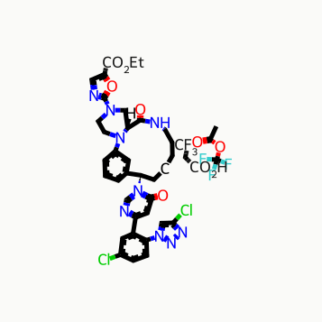 CC(=O)OC(F)(F)F.CCOC(=O)c1cnc(N2CCN3c4cccc(c4)[C@@H](n4cnc(-c5cc(Cl)ccc5-n5cc(Cl)nn5)cc4=O)CCCCCNC(=O)[C@H]3C2)o1.O=C(O)CC(F)(F)F